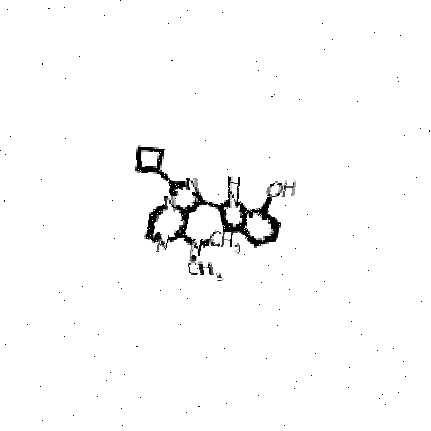 CN(C)c1nccn2c(C3CCC3)nc(-c3cc4cccc(O)c4[nH]3)c12